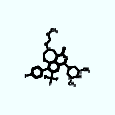 COCO[C@H]1CSc2c(-c3ccc(F)cc3)c(C(F)(F)F)cc3c(N4C[C@@H](C)N[C@@H](C)C4)nc(=O)n(c23)C1